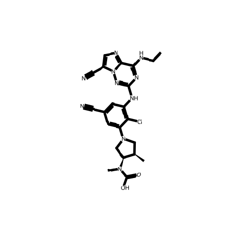 CCNc1nc(Nc2cc(C#N)cc(N3C[C@@H](C)[C@@H](N(C)C(=O)O)C3)c2Cl)nn2c(C#N)cnc12